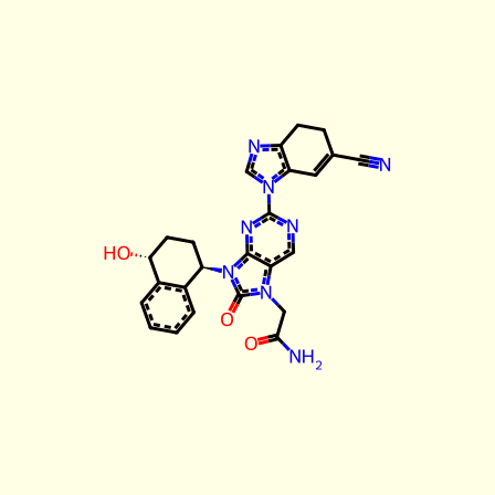 N#CC1=Cc2c(ncn2-c2ncc3c(n2)n([C@@H]2CC[C@@H](O)c4ccccc42)c(=O)n3CC(N)=O)CC1